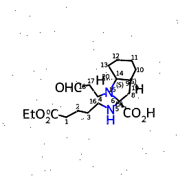 CCOC(=O)CCCCN[C@@]1(C(=O)O)C[C@@H]2CCCC[C@@H]2N1CCC=O